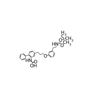 CC(C)(C)OC(=O)NCCc1cccc(OCCCc2ccc(-c3ccccc3)c(NC(=O)O)c2)c1